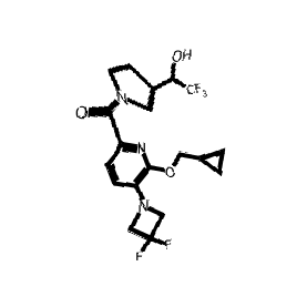 O=C(c1ccc(N2CC(F)(F)C2)c(OCC2CC2)n1)N1CCC(C(O)C(F)(F)F)C1